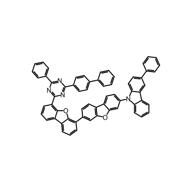 c1ccc(-c2ccc(-c3nc(-c4ccccc4)nc(-c4cccc5c4oc4c(-c6ccc7c(c6)oc6cc(-n8c9ccccc9c9cc(-c%10ccccc%10)ccc98)ccc67)cccc45)n3)cc2)cc1